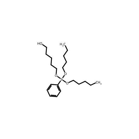 CCCCCO[Si](OCCCCC)(OCCCCCO)c1ccccc1